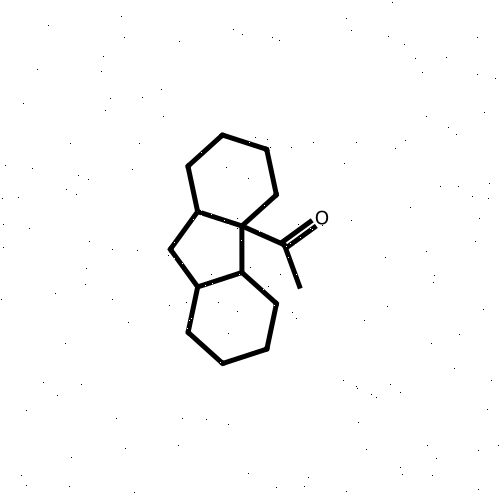 CC(=O)C12CCCCC1CC1CCCCC12